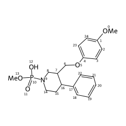 COc1ccc(OCC2CN(P(=O)(O)OC)CCC2c2ccccc2)cc1